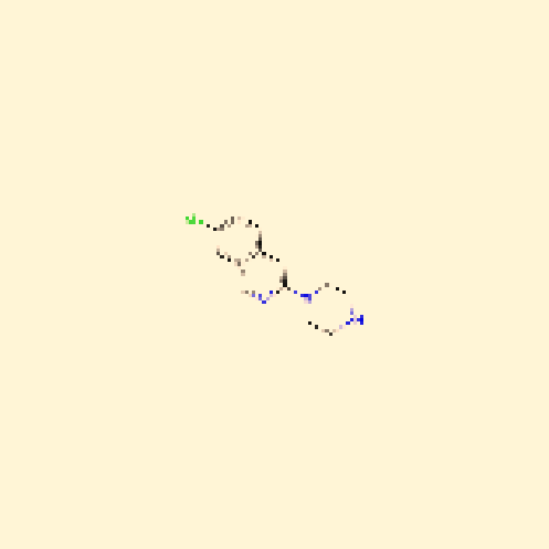 Clc1ccc2cc(N3CCNCC3)ncc2c1